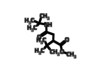 COC(=O)C(CC(=O)NC(C)(C)C)C(C)(C)C